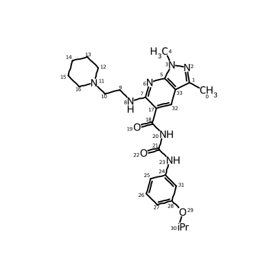 Cc1nn(C)c2nc(NCCN3CCCCC3)c(C(=O)NC(=O)Nc3cccc(OC(C)C)c3)cc12